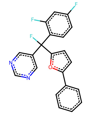 Fc1ccc(C(F)(c2cncnc2)c2ccc(-c3ccccc3)o2)c(F)c1